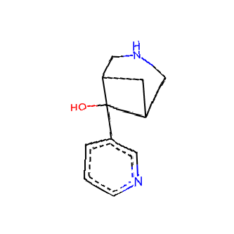 OC1(c2cccnc2)C2CNCC1C2